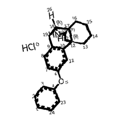 Cl.c1ccc(Oc2ccc3c(c2)[C@@]24CCCC[C@H]2[C@@H](C3)NCC4)cc1